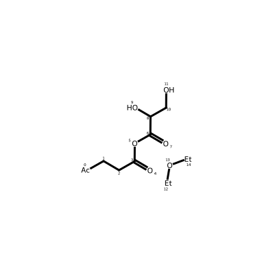 CC(=O)CCC(=O)OC(=O)C(O)CO.CCOCC